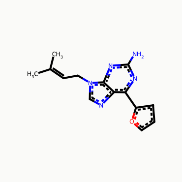 CC(C)=CCn1cnc2c(-c3ccco3)nc(N)nc21